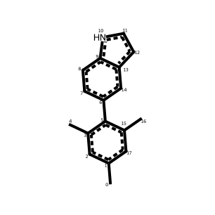 Cc1cc(C)c(-c2ccc3[nH]ccc3c2)c(C)c1